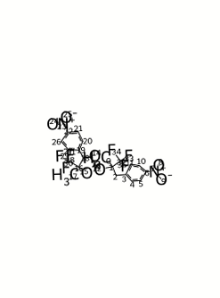 CC(Cc1ccc([N+](=O)[O-])cc1)(OC(=O)OC(C)(Cc1ccc([N+](=O)[O-])cc1)C(F)(F)F)C(F)(F)F